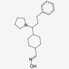 ON=CC1CCC(C(CCc2ccccc2)N2CCCC2)CC1